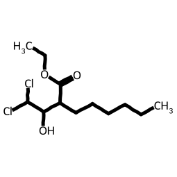 CCCCCCC(C(=O)OCC)C(O)C(Cl)Cl